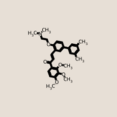 COc1ccc(C(=O)C=Cc2cc(-c3cc(C)cc(C)c3)ccc2OCCN(C)C)c(OC)c1OC